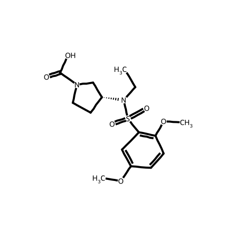 CCN([C@@H]1CCN(C(=O)O)C1)S(=O)(=O)c1cc(OC)ccc1OC